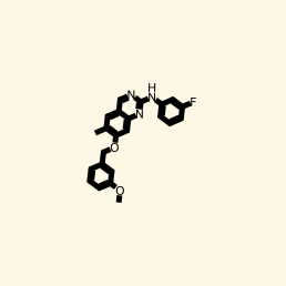 COc1cccc(COc2cc3nc(Nc4cccc(F)c4)ncc3cc2C)c1